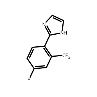 Fc1ccc(-c2ncc[nH]2)c(C(F)(F)F)c1